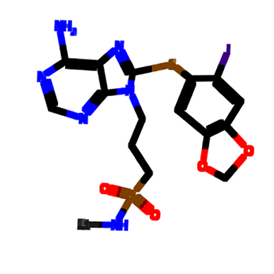 CCNS(=O)(=O)CCCn1c(Sc2cc3c(cc2I)OCO3)nc2c(N)ncnc21